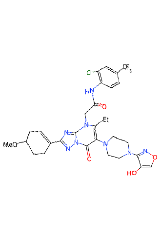 CCc1c(N2CCN(c3nocc3O)CC2)c(=O)n2nc(C3=CCC(OC)CC3)nc2n1CC(=O)Nc1ccc(C(F)(F)F)cc1Cl